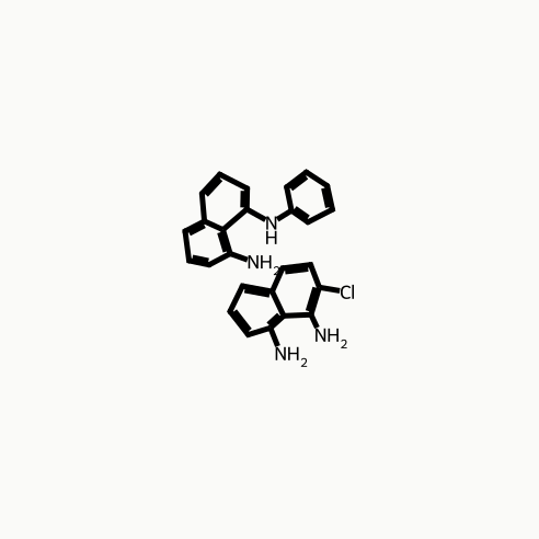 Nc1cccc2ccc(Cl)c(N)c12.Nc1cccc2cccc(Nc3ccccc3)c12